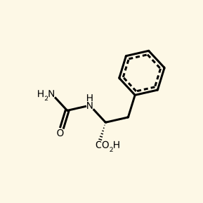 NC(=O)N[C@H](Cc1ccccc1)C(=O)O